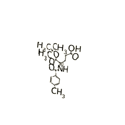 Cc1ccc(C(=O)N[C@H](CCC(=O)O)C(=O)OC(C)(C)C)cc1